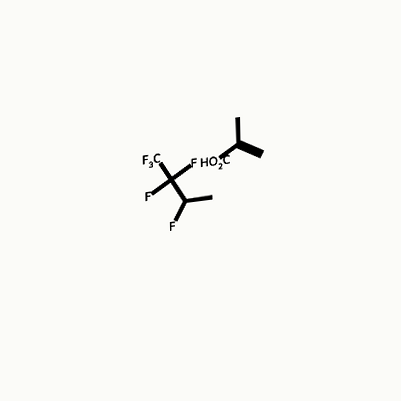 C=C(C)C(=O)O.CC(F)C(F)(F)C(F)(F)F